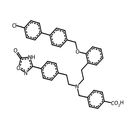 O=C(O)c1ccc(CN(CCc2ccc(-c3noc(=O)[nH]3)cc2)CCc2ccccc2OCc2ccc(-c3ccc(Cl)cc3)cc2)cc1